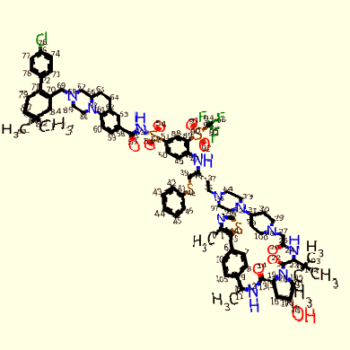 Cc1ncsc1-c1ccc([C@H](C)NC(=O)[C@@H]2C[C@@H](O)CN2C(=O)C(NC(=O)CN2CCC(N3CCN(CC[C@H](CSc4ccccc4)Nc4ccc(S(=O)(=O)NC(=O)c5ccc6c(c5)CCC5CN(CC7=C(c8ccc(Cl)cc8)CCC(C)(C)C7)CCN65)cc4S(=O)(=O)C(F)(F)F)CC3)CC2)C(C)(C)C)cc1